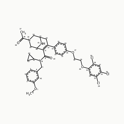 COc1cccc(CN(C(=O)C2=C(c3ccc(OCCOc4cc(Cl)c(Cl)cc4Cl)cc3)CC3CN(C(C)=O)CC2N3)C2CC2)c1